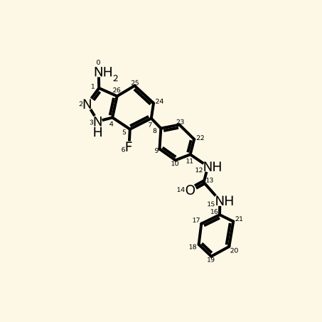 Nc1n[nH]c2c(F)c(-c3ccc(NC(=O)Nc4ccccc4)cc3)ccc12